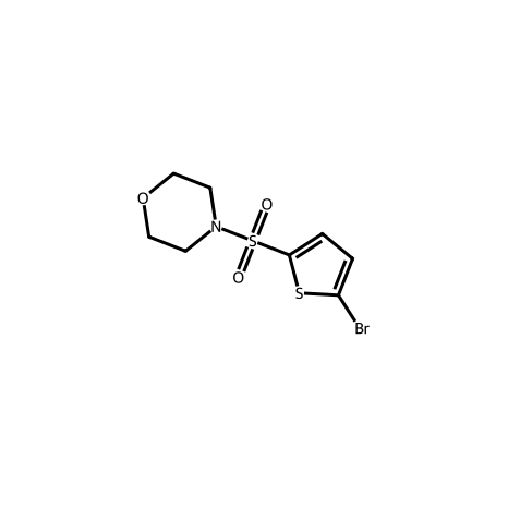 O=S(=O)(c1ccc(Br)s1)N1CCOCC1